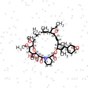 C=CCC1C=C(C)CC(C)CC(OC)C2OC(O)(C(=O)C(=O)N3CCCCC3C(=O)OC(C(C)=CC3CCC4OC4C3)C(C)C=CC1=O)C(C)CC2OC